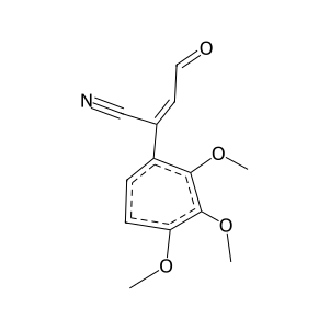 COc1ccc(C(C#N)=CC=O)c(OC)c1OC